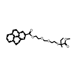 CCC(C)(SCCOCOCCOC(=O)c1cc2ccc3cccc4ccc(c1)c2c34)C(=O)OC